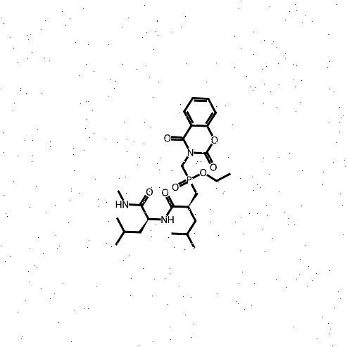 CCOP(=O)(C[C@@H](CC(C)C)C(=O)N[C@@H](CC(C)C)C(=O)NC)Cn1c(=O)oc2ccccc2c1=O